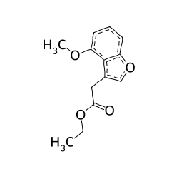 CCOC(=O)Cc1coc2cccc(OC)c12